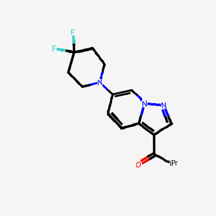 CC(C)C(=O)c1cnn2cc(N3CCC(F)(F)CC3)ccc12